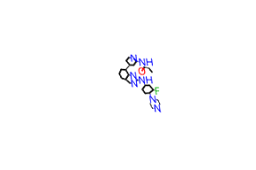 C=CC(=O)Nc1cc(-c2cccc3cnc(Nc4ccc(N5CCN(C)CC5)c(F)c4)nc23)ccn1